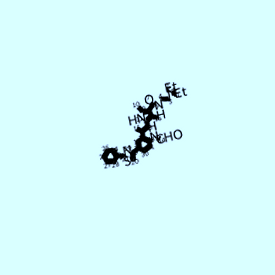 CCN(CC)CCNC(=O)c1c(C)[nH]c(/C=C(\C)c2cc(-c3csc(-c4ccccc4)n3)ccc2NC=O)c1C